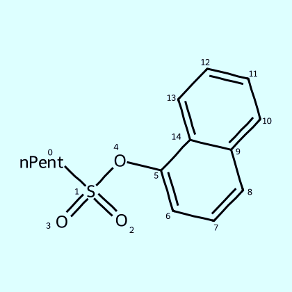 CCCCCS(=O)(=O)Oc1cccc2ccccc12